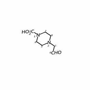 O=CCN1CCN(C(=O)O)CC1